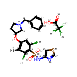 CCc1c(OC2CCN(Cc3ccccc3)C2)cc(F)c(S(=O)(=O)Nc2cscn2)c1F.O=C(O)C(F)(F)F